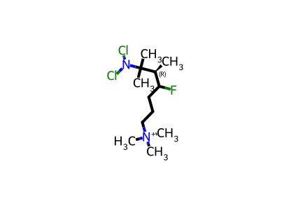 C[C@@H](C(F)CCC[N+](C)(C)C)C(C)(C)N(Cl)Cl